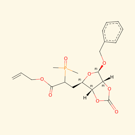 C=CCOC(=O)C(C[C@H]1O[C@@H](OCc2ccccc2)[C@@H]2OC(=O)O[C@@H]21)P(C)(C)=O